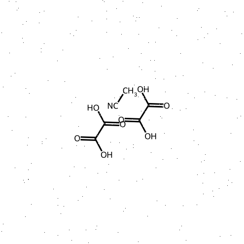 CC#N.O=C(O)C(=O)O.O=C(O)C(=O)O